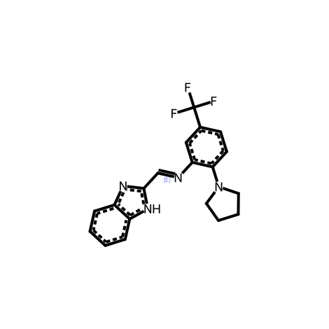 FC(F)(F)c1ccc(N2CCCC2)c(/N=C/c2nc3ccccc3[nH]2)c1